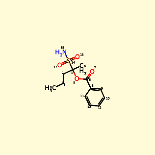 CCCC(C)(OC(=O)c1ccccc1)S(N)(=O)=O